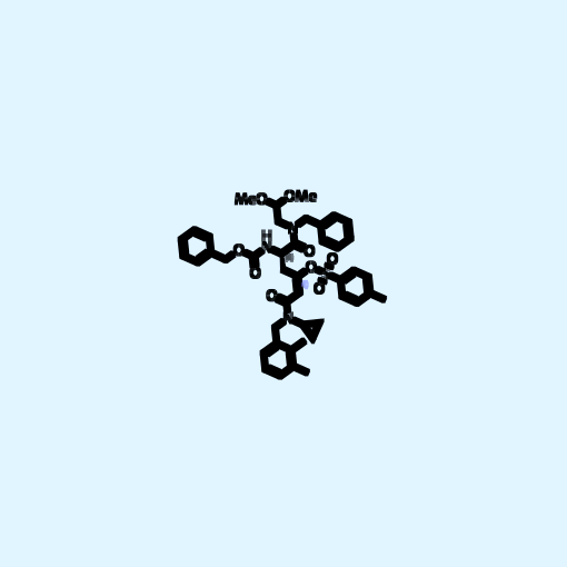 COC(CN(Cc1ccccc1)C(=O)[C@@H](C/C(=C\C(=O)N(Cc1cccc(C)c1C)C1CC1)OS(=O)(=O)c1ccc(C)cc1)NC(=O)OCc1ccccc1)OC